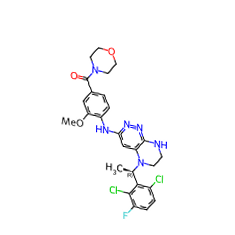 COc1cc(C(=O)N2CCOCC2)ccc1Nc1cc2c(nn1)NCCN2[C@H](C)c1c(Cl)ccc(F)c1Cl